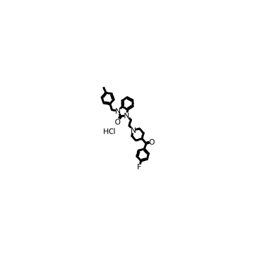 Cc1ccc(Cn2c(=O)n(CCN3CCC(C(=O)c4ccc(F)cc4)CC3)c3ccccc32)cc1.Cl